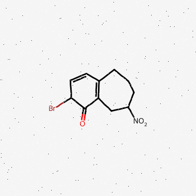 O=C1C2=C(C=CC1Br)CCCC([N+](=O)[O-])C2